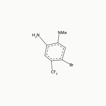 CNc1cc(Br)c(C(F)(F)F)cc1N